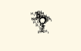 CO[C@]1(C)C[C@@H](C)CN(C)[C@H](C2CN(CC(=O)N(C)C(C)C)C2)COC(=O)C(C)(C)C(=O)[C@H](C)[C@H]1O[C@@H]1O[C@H](C)C[C@H](N(C)C)[C@H]1O